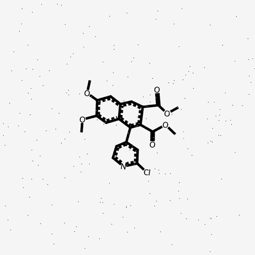 COC(=O)c1cc2cc(OC)c(OC)cc2c(-c2ccnc(Cl)c2)c1C(=O)OC